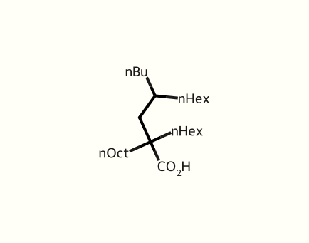 CCCCCCCCC(CCCCCC)(CC(CCCC)CCCCCC)C(=O)O